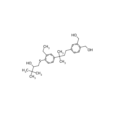 CCc1cc(C(C)(C)CCc2ccc(CO)c(CO)c2)ccc1SCC(O)C(C)(C)C